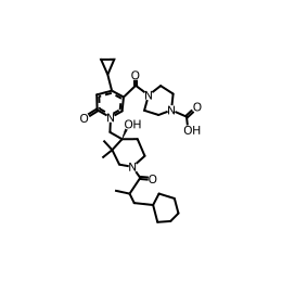 CC(CC1CCCCC1)C(=O)N1CC[C@@](O)(Cn2cc(C(=O)N3CCN(C(=O)O)CC3)c(C3CC3)cc2=O)C(C)(C)C1